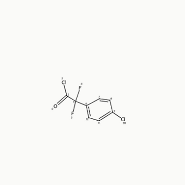 O=C(Cl)C(F)(F)c1ccc(Cl)cc1